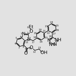 CCOc1nc2cccc(C(=O)OCCO)c2n1Cc1ccc(-c2ccccc2-c2nnn[nH]2)cc1